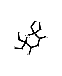 CCC1(CC)NC(CC)(CC)C(C)CC1C